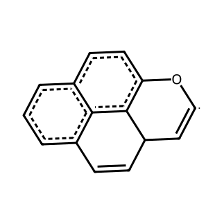 [C]1=CC2C=Cc3cccc4ccc(c2c34)O1